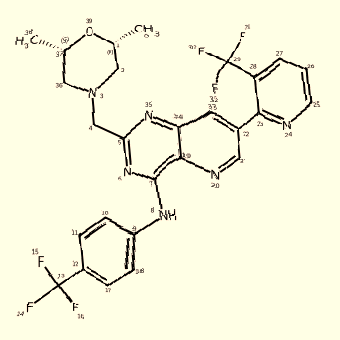 C[C@@H]1CN(Cc2nc(Nc3ccc(C(F)(F)F)cc3)c3ncc(-c4ncccc4C(F)(F)F)cc3n2)C[C@H](C)O1